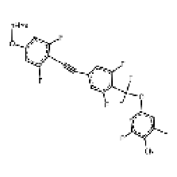 CCCCCCOc1cc(F)c(C#Cc2cc(F)c(C(F)(F)Oc3cc(F)c(C#N)c(F)c3)c(F)c2)c(F)c1